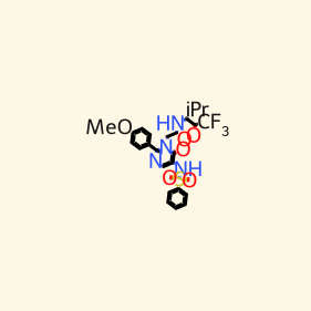 COc1ccc(-c2ncc(NS(=O)(=O)c3ccccc3)c(=O)n2CC(=O)NC(C(=O)C(F)(F)F)C(C)C)cc1